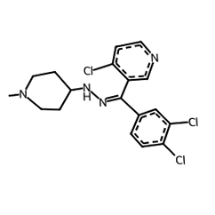 CN1CCC(NN=C(c2ccc(Cl)c(Cl)c2)c2cnccc2Cl)CC1